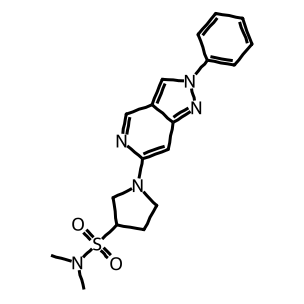 CN(C)S(=O)(=O)C1CCN(c2cc3nn(-c4ccccc4)cc3cn2)C1